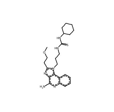 COCCc1nc2c(N)nc3ccccc3c2n1CCCNC(=S)NC1CCCCC1